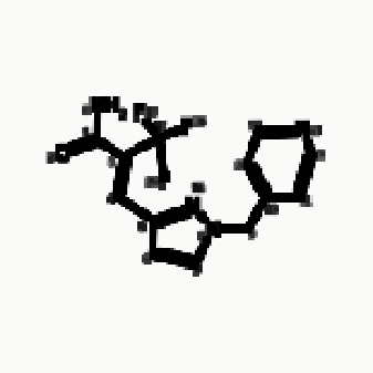 NC(=O)C(=Cc1ccn(Cc2ccncc2)n1)C(F)(F)F